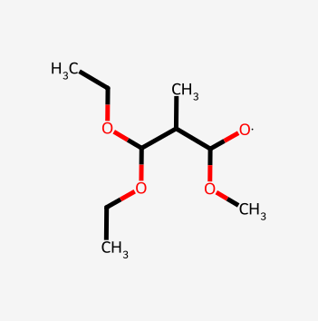 CCOC(OCC)C(C)C([O])OC